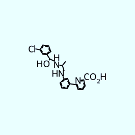 CC(CNc1cccc(-c2cccc(C(=O)O)n2)c1)NCC(O)c1cccc(Cl)c1